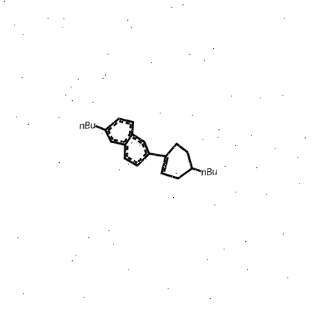 CCCCc1ccc2cc(C3=CCC(CCCC)CC3)ccc2c1